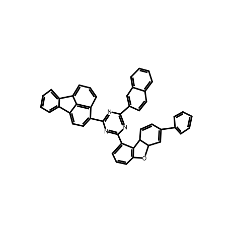 C1=CC2c3c(cccc3-c3nc(-c4ccc5ccccc5c4)nc(-c4ccc5c6c(cccc46)-c4ccccc4-5)n3)OC2C=C1c1ccccc1